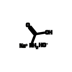 NC(=O)O.[Na+].[OH-]